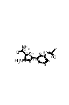 CC(=O)Nc1cccc(-c2cc(N)c(C(N)=O)s2)c1